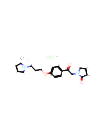 C[C@@H]1CCCN1CCCOc1ccc(C(=O)CN2CCCC2=O)cc1.Cl